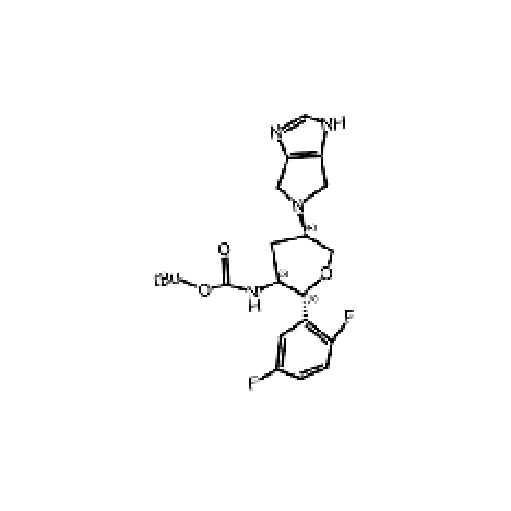 CC(C)(C)OC(=O)N[C@H]1C[C@@H](N2Cc3nc[nH]c3C2)CO[C@@H]1c1cc(F)ccc1F